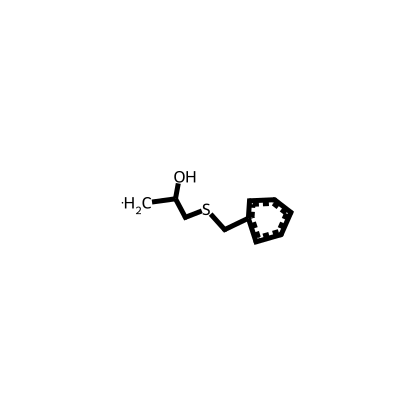 [CH2]C(O)CSCc1ccccc1